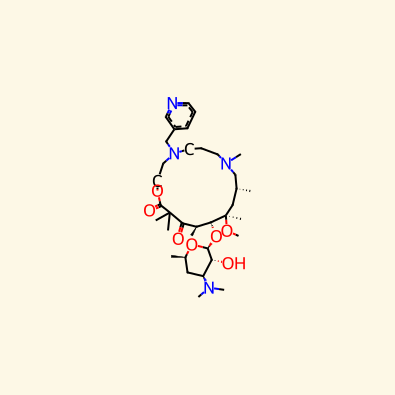 CO[C@]1(C)C[C@@H](C)CN(C)CCCN(Cc2cccnc2)CCOC(=O)C(C)(C)C(=O)[C@H](C)[C@H]1O[C@@H]1O[C@H](C)C[C@H](N(C)C)[C@H]1O